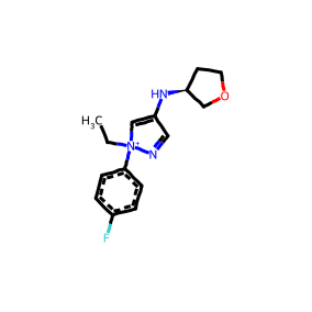 CC[N+]1(c2ccc(F)cc2)C=C(N[C@H]2CCOC2)C=N1